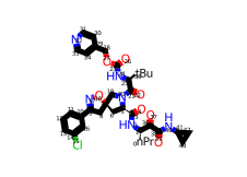 CCC[C@H](NC(=O)[C@@H]1C[C@]2(CC(c3cccc(Cl)c3)=NO2)CN1C(=O)[C@@H](NC(=O)OCc1ccncc1)C(C)(C)C)C(=O)C(=O)NC1CC1